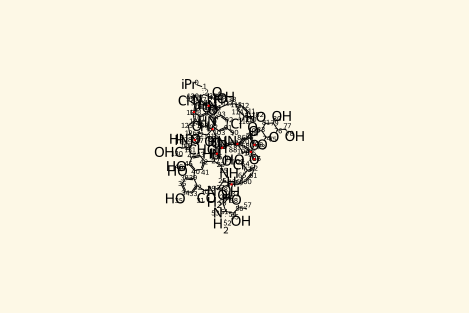 CC(C)C[C@H](C(=O)N[C@H]1C(=O)N[C@@H](CC(N)=O)C(=O)N[C@H]2C(=O)N[C@H]3C(=O)N[C@H](C(=O)N[C@H](C(=O)O)c4cc(O)cc(O)c4-c4cc3ccc4O)[C@H](O[C@H]3C[C@](C)(N)[C@@H](O)[C@H](C)O3)c3ccc(c(Cl)c3)Oc3cc2cc(c3O[C@@H]2O[C@H](CO)[C@@H](O)[C@H](O)[C@H]2O[C@H]2C[C@](C)(NCc3ccc(-c4ccc(Cl)cc4)cc3)[C@H](O)[C@H](C)O2)Oc2ccc(cc2Cl)[C@H]1O)N(C)C(=O)CCCC(=O)NC(C=O)C=O